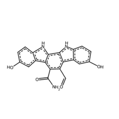 NC(=O)c1c(C=O)c2c3cc(O)ccc3[nH]c2c2[nH]c3ccc(O)cc3c12